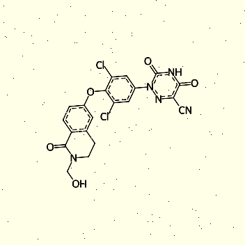 N#Cc1nn(-c2cc(Cl)c(Oc3ccc4c(c3)CCN(CO)C4=O)c(Cl)c2)c(=O)[nH]c1=O